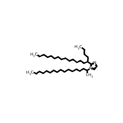 CCCCCCCCCCCCCCCC(C)n1ccnc1C(CCCC)CCCCCCCCCCCCCC